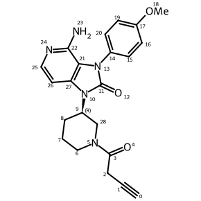 C#CCC(=O)N1CCC[C@@H](n2c(=O)n(-c3ccc(OC)cc3)c3c(N)nccc32)C1